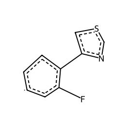 Fc1c[c]ccc1-c1cscn1